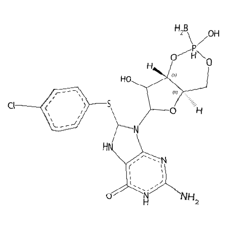 B[PH]1(O)OC[C@H]2OC(N3c4nc(N)[nH]c(=O)c4NC3Sc3ccc(Cl)cc3)C(O)[C@@H]2O1